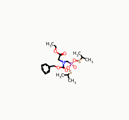 CCOC(=O)CN(CP(=O)(OSC(C)C)OSC(C)C)C(=O)OCc1ccccc1